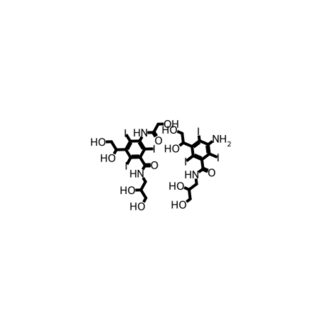 Nc1c(I)c(C(=O)NCC(O)CO)c(I)c(C(O)CO)c1I.O=C(CO)Nc1c(I)c(C(=O)NCC(O)CO)c(I)c(C(O)CO)c1I